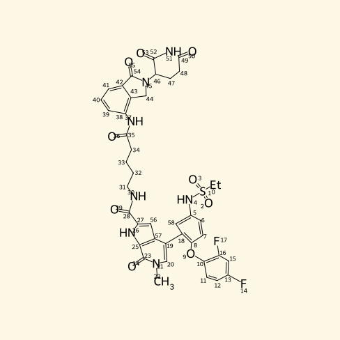 CCS(=O)(=O)Nc1ccc(Oc2ccc(F)cc2F)c(-c2cn(C)c(=O)c3[nH]c(C(=O)NCCCCC(=O)Nc4cccc5c4CN(C4CCC(=O)NC4=O)C5=O)cc23)c1